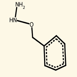 NNOCc1ccccc1